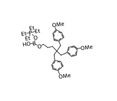 CCP(CC)(CC)(CC)OB(O)OCCCC(Cc1ccc(OC)cc1)(Cc1ccc(OC)cc1)Cc1ccc(OC)cc1